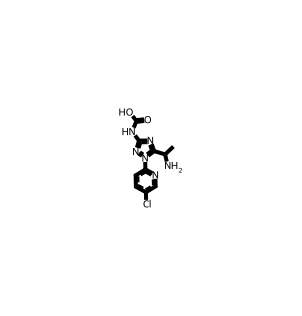 CC(N)c1nc(NC(=O)O)nn1-c1ccc(Cl)cn1